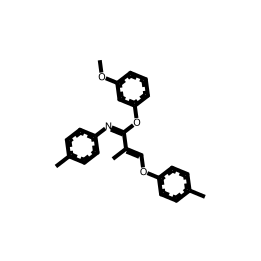 COc1cccc(OC(=Nc2ccc(C)cc2)C(C)=COc2ccc(C)cc2)c1